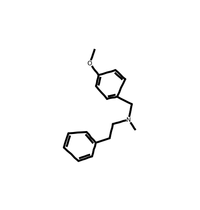 COc1ccc(CN(C)CCc2ccccc2)cc1